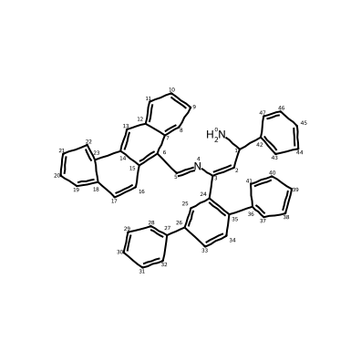 NC(/C=C(\N=C\c1c2ccccc2cc2c1ccc1ccccc12)c1cc(-c2ccccc2)ccc1-c1ccccc1)c1ccccc1